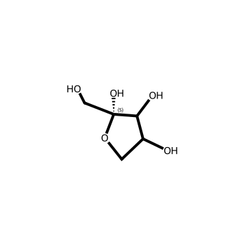 OC[C@]1(O)OCC(O)C1O